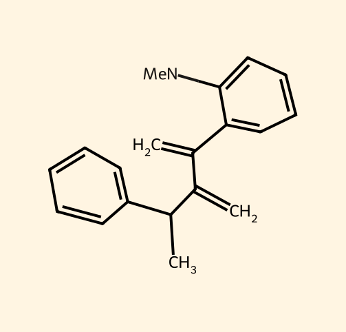 C=C(C(=C)C(C)c1ccccc1)c1ccccc1NC